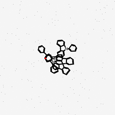 c1ccc(-c2ccc3c(c2)c2ccc4c(c2n3-c2ccccc2)C2(c3ccccc3-c3ccc5c6ccccc6n(-c6ccc7c(c6)c6ccccc6n7-c6ccccc6)c5c32)c2ccccc2-4)cc1